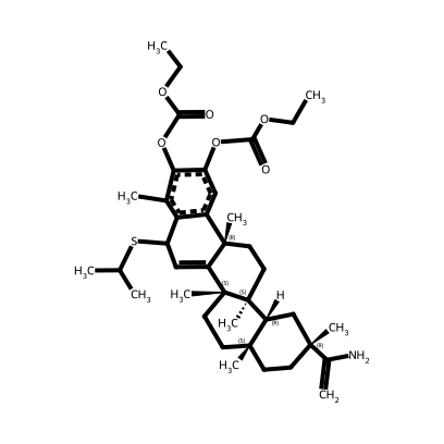 C=C(N)[C@]1(C)CC[C@]2(C)CC[C@]3(C)C4=CC(SC(C)C)c5c(cc(OC(=O)OCC)c(OC(=O)OCC)c5C)[C@]4(C)CC[C@@]3(C)[C@@H]2C1